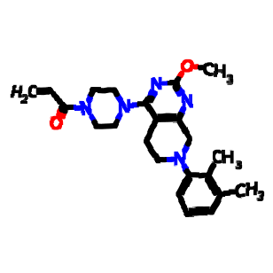 C=CC(=O)N1CCN(c2nc(OC)nc3c2CCN(c2cccc(C)c2C)C3)CC1